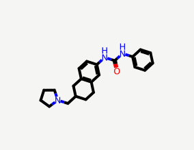 O=C(Nc1ccccc1)Nc1ccc2c(c1)CCC(CN1CCCC1)C2